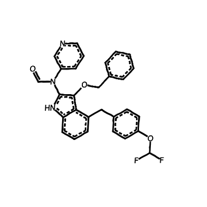 O=CN(c1cccnc1)c1[nH]c2cccc(Cc3ccc(OC(F)F)cc3)c2c1OCc1ccccc1